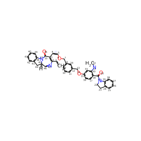 C=CC1=C(/C=C\OCc2cccc(COc3ccc(C(=O)N4CCc5ccccc54)c(N=C)c3)c2)C(=O)N2c3ccccc3C[C@H]2C=N1